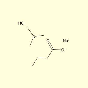 CCCC(=O)[O-].CN(C)C.Cl.[Na+]